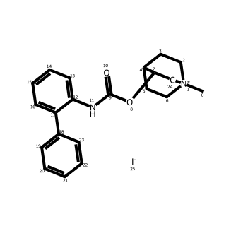 C[N+]12CCC(CC1)C(OC(=O)Nc1ccccc1-c1ccccc1)C2.[I-]